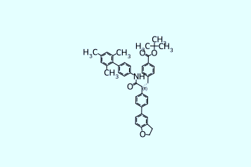 Cc1cc(C)c(-c2ccc(NC(=O)[C@H](Cc3ccc(C(=O)OC(C)(C)C)cc3)c3ccc(-c4ccc5c(c4)CCO5)cc3)cc2)c(C)c1